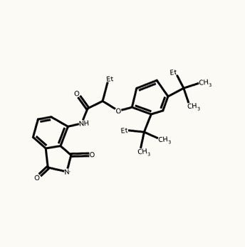 CCC(Oc1ccc(C(C)(C)CC)cc1C(C)(C)CC)C(=O)Nc1cccc2c1C(=O)[N]C2=O